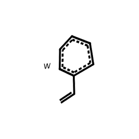 C=Cc1ccccc1.[W]